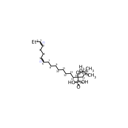 CC/C=C\CC/C=C\CCCCCCCCC(O)(C[N+](C)(C)C)P(=O)(O)O